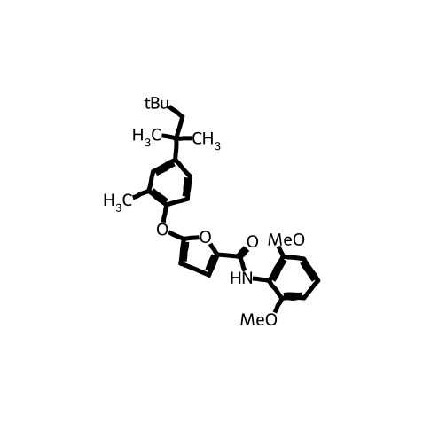 COc1cccc(OC)c1NC(=O)c1ccc(Oc2ccc(C(C)(C)CC(C)(C)C)cc2C)o1